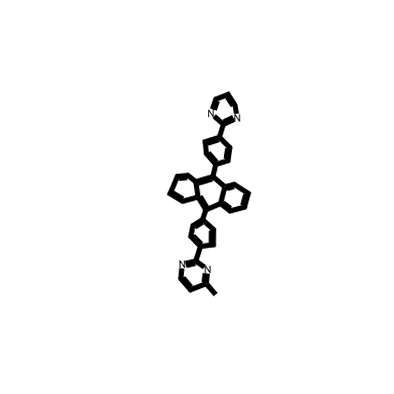 Cc1ccnc(-c2ccc(-c3c4ccccc4c(-c4ccc(-c5ncccn5)cc4)c4ccccc34)cc2)n1